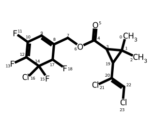 CC1(C)C(C(=O)OCC2=CC(F)=C(F)C(F)(Cl)C2F)C1/C(Cl)=C/Cl